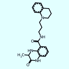 CC1Nc2c(cccc2C(=O)NCCCN2CCCc3ccccc32)NC1=O